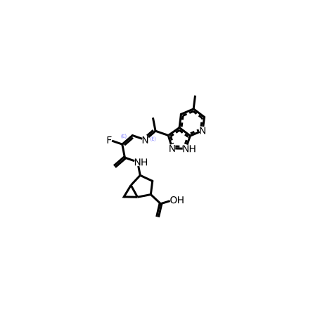 C=C(NC1CC(C(=C)O)C2CC12)/C(F)=C\N=C(/C)c1n[nH]c2ncc(C)cc12